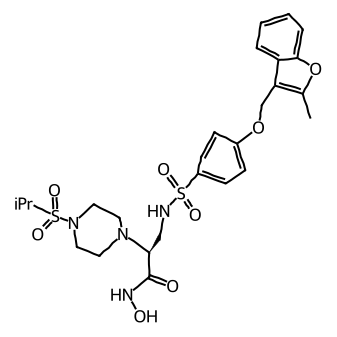 Cc1oc2ccccc2c1COc1ccc(S(=O)(=O)NC[C@@H](C(=O)NO)N2CCN(S(=O)(=O)C(C)C)CC2)cc1